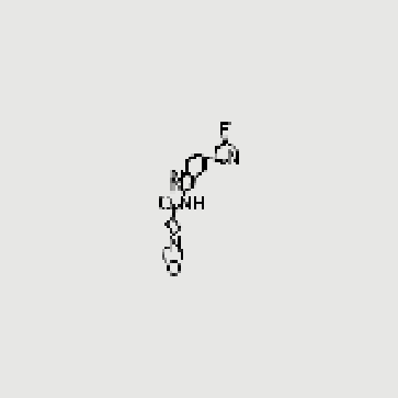 O=C(Nc1cc2cc(-c3cncc(F)c3)ccc2nn1)C1CC(N2CCOCC2)C1